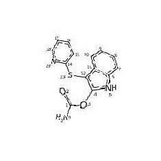 NC(=O)Oc1[nH]c2ccccc2c1Sc1ccccn1